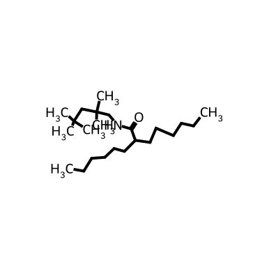 CCCCCCC(CCCCCC)C(=O)NCC(C)(C)CC(C)(C)C